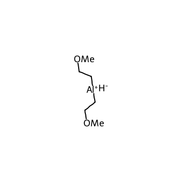 COC[CH2][Al+][CH2]COC.[H-]